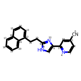 N#Cc1ccnc(-c2c[nH]c(CCc3cccc4ccccc34)n2)c1